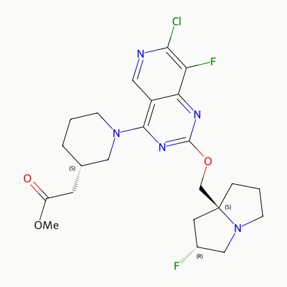 COC(=O)C[C@@H]1CCCN(c2nc(OC[C@@]34CCCN3C[C@H](F)C4)nc3c(F)c(Cl)ncc23)C1